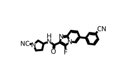 N#Cc1cccc(-c2ccc3nc(C(=O)NC4CCN(C#N)C4)c(F)n3c2)c1